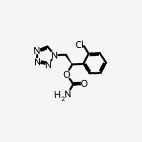 NC(=O)O[C@@H](Cn1cnnn1)c1ccccc1Cl